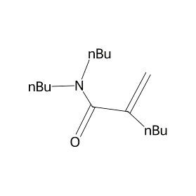 C=C(CCCC)C(=O)N(CCCC)CCCC